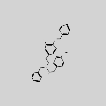 COc1ccc(C[C@@H](C)N(Cc2ccccc2)C[C@H](O)c2ccc(OCc3ccccc3)c(N)c2)cc1